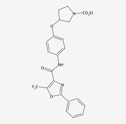 CCOC(=O)N1CCC(Oc2ccc(NC(=O)c3nc(-c4ccccc4)oc3C(F)(F)F)cc2)C1